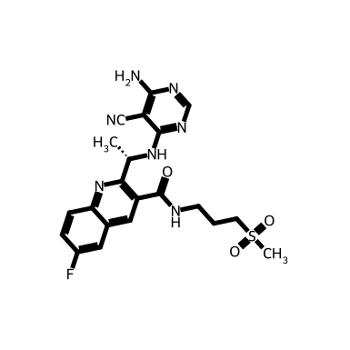 C[C@H](Nc1ncnc(N)c1C#N)c1nc2ccc(F)cc2cc1C(=O)NCCCS(C)(=O)=O